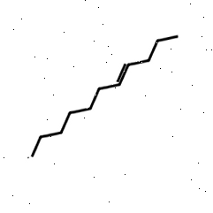 [CH2]CCCCCC=CCCC